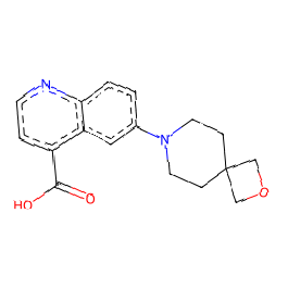 O=C(O)c1ccnc2ccc(N3CCC4(CC3)COC4)cc12